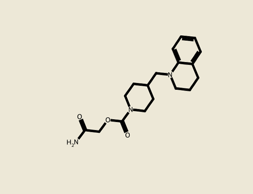 NC(=O)COC(=O)N1CCC(CN2CCCc3ccccc32)CC1